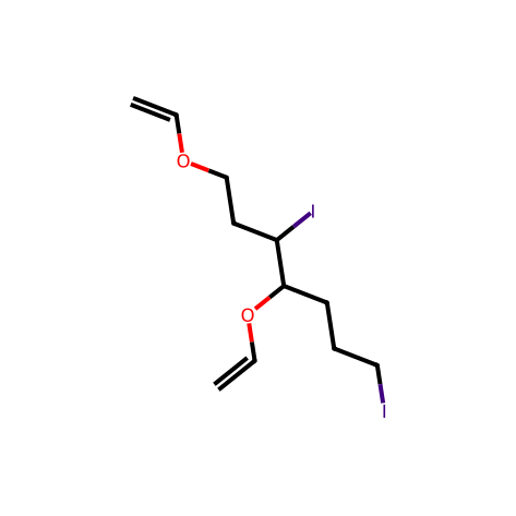 C=COCCC(I)C(CCCI)OC=C